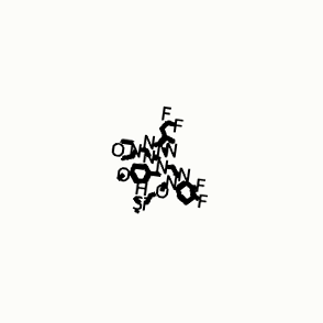 COc1ccc(CN(Cc2nc3c(F)c(F)ccc3n2COCC[SiH](C)C)c2nc(N3CCOCC3)nc3c(CC(F)F)cnn23)cc1